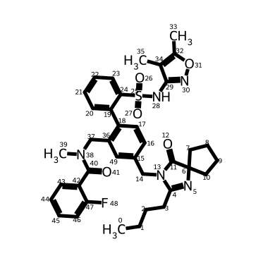 CCCCC1=NC2(CCCC2)C(=O)N1Cc1ccc(-c2ccccc2S(=O)(=O)Nc2noc(C)c2C)c(CN(C)C(=O)c2ccccc2F)c1